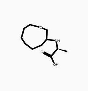 C[C@H](NC1CCCCCCCC1)C(=O)O